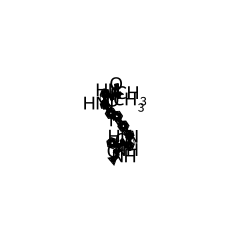 CC(C)[C@H](NC=O)C(=O)N1CCC[C@H]1c1nc(-c2ccc3nc(-c4ccc(-c5cnc([C@@H]6CCCN6C(=O)[C@H](NC(=O)NC6CC6)c6ccccc6)[nH]5)cc4)ccc3c2)c[nH]1